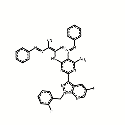 N#CC(/N=N/c1ccccc1)=C(\N)Nc1nc(-c2nn(Cc3ccccc3F)c3ncc(F)cc23)nc(N)c1/N=N/c1ccccc1